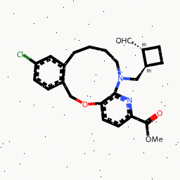 COC(=O)c1ccc2c(n1)N(C[C@@H]1CC[C@H]1C=O)CCCCc1cc(Cl)ccc1CO2